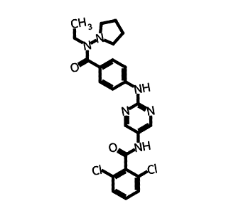 CCN(C(=O)c1ccc(Nc2ncc(NC(=O)c3c(Cl)cccc3Cl)cn2)cc1)N1CCCC1